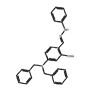 COc1cc(N(Cc2ccccc2)Cc2ccccc2)ccc1C=NNc1ccccc1